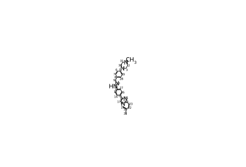 CN1CCN(c2ccc(C=NNc3ccc(-c4cn5cc(I)ccc5n4)cc3)cc2)CC1